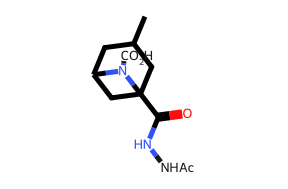 CC(=O)NNC(=O)C12CC(C)CC(C1)N2C(=O)O